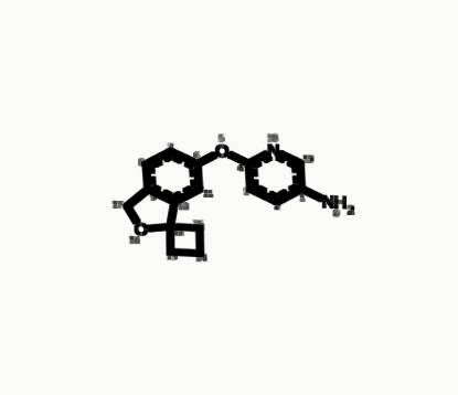 Nc1ccc(Oc2ccc3c(c2)C2(CCC2)OC3)nc1